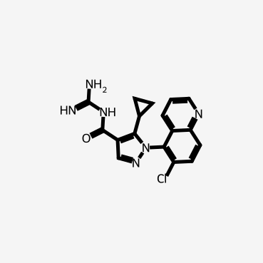 N=C(N)NC(=O)c1cnn(-c2c(Cl)ccc3ncccc23)c1C1CC1